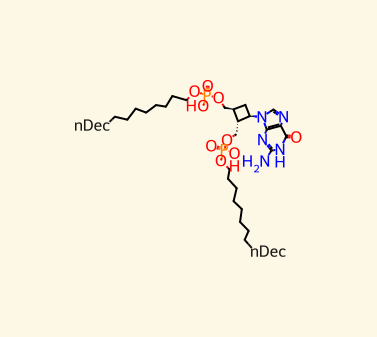 CCCCCCCCCCCCCCCCCCOP(=O)(O)OC[C@H]1C[C@@H](n2cnc3c(=O)[nH]c(N)nc32)[C@@H]1COP(=O)(O)OCCCCCCCCCCCCCCCCCC